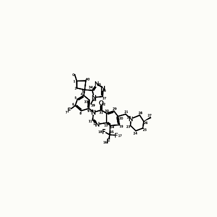 CC1CC(c2cc(F)cc(-n3cnc4c(C(F)(F)F)cc(CN5CCC[C@H](C)C5)cc4c3=O)c2)(c2nncn2C)C1